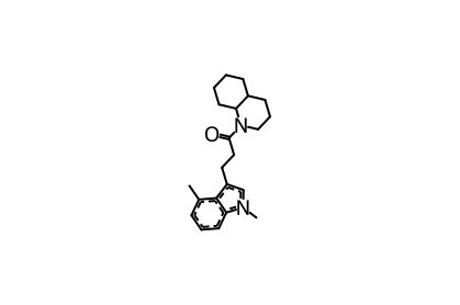 Cc1cccc2c1c(CCC(=O)N1CCCC3CCCCC31)cn2C